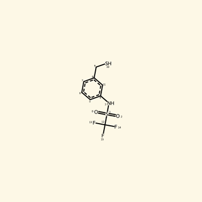 O=S(=O)(Nc1cccc(CS)c1)C(F)(F)F